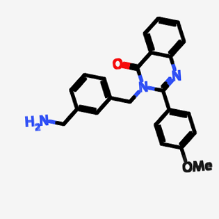 COc1ccc(-c2nc3ccccc3c(=O)n2Cc2cccc(CN)c2)cc1